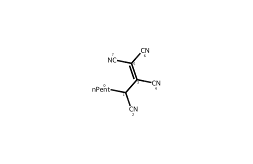 CCCCCC(C#N)C(C#N)=C(C#N)C#N